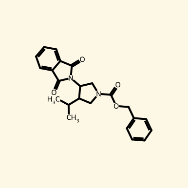 CC(C)C1CN(C(=O)OCc2ccccc2)CC1N1C(=O)c2ccccc2C1=O